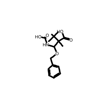 CC(C)(C)C(C)(C(=O)O)C(NC(=O)O)OCc1ccccc1